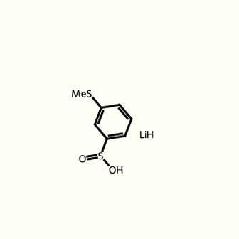 CSc1cccc(S(=O)O)c1.[LiH]